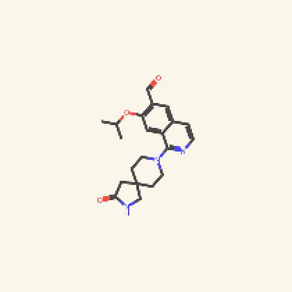 CC(C)Oc1cc2c(N3CCC4(CC3)CNC(=O)C4)nccc2cc1C=O